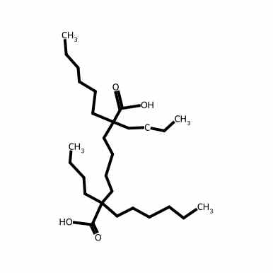 CCCCCCC(CCCC)(CCCCC(CCCC)(CCCCCC)C(=O)O)C(=O)O